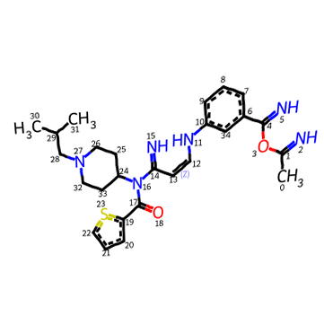 CC(=N)OC(=N)c1cccc(N/C=C\C(=N)N(C(=O)c2cccs2)C2CCN(CC(C)C)CC2)c1